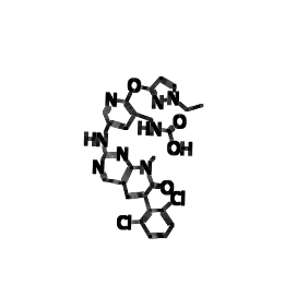 CCn1ccc(Oc2ncc(Nc3ncc4cc(-c5c(Cl)cccc5Cl)c(=O)n(C)c4n3)cc2CNC(=O)O)n1